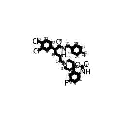 O=C1Nc2ccc(F)cc2C2(CCN(CCCC(C(=O)NCc3ccc(F)cc3)c3ccc(Cl)c(Cl)c3)CC2)O1